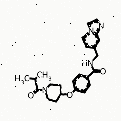 CC(C)C(=O)N1CCC(Oc2ccc(C(=O)NCc3ccn4ccnc4c3)cc2)CC1